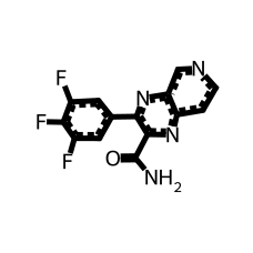 NC(=O)c1nc2ccncc2nc1-c1cc(F)c(F)c(F)c1